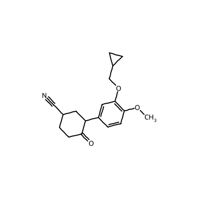 COc1ccc(C2CC(C#N)CCC2=O)cc1OCC1CC1